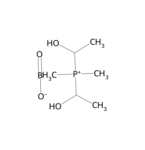 CC(O)[P+](C)(C)C(C)O.O=B[O-]